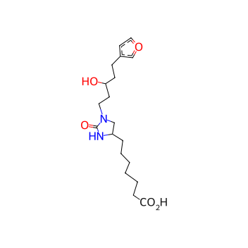 O=C(O)CCCCCCC1CN(CCC(O)CCc2ccoc2)C(=O)N1